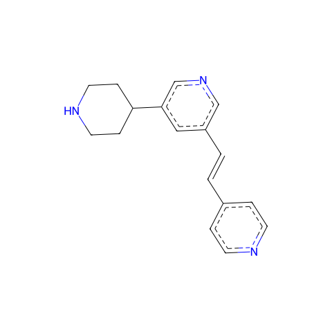 C(=Cc1cncc(C2CCNCC2)c1)c1ccncc1